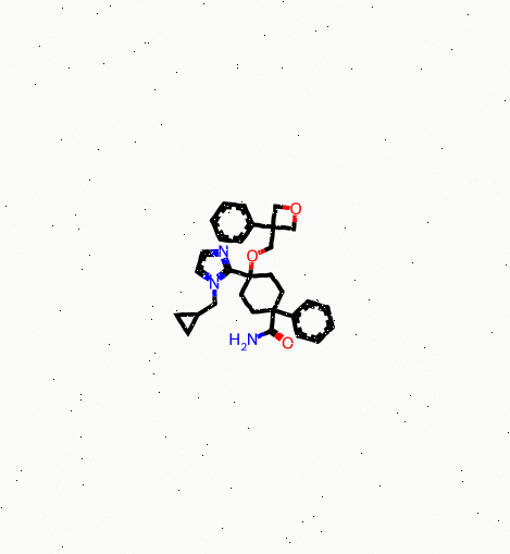 NC(=O)C1(c2ccccc2)CCC(OCC2(c3ccccc3)COC2)(c2nccn2CC2CC2)CC1